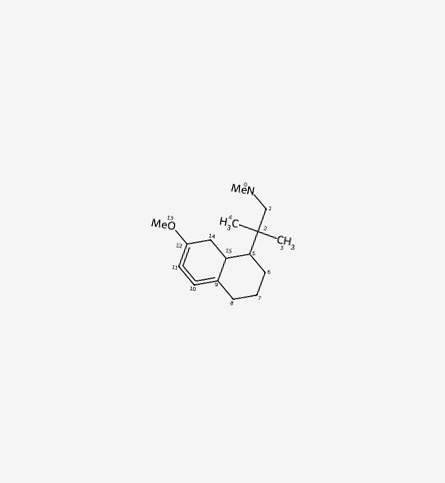 CNCC(C)(C)C1CCCC2=C=C=C(OC)CC21